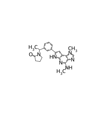 CNc1nc2[nH]c(-c3cccc(C(C)N4CCCC4=O)c3)cc2c2c1ncn2C